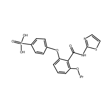 CC(C)Oc1cccc(Oc2ccc(P(=O)(O)O)cc2)c1C(=O)Nc1nccs1